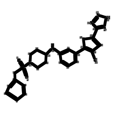 O=S(=O)(Cc1ccccc1)N1CCC(Nc2cccc(-c3sc(-c4nn[nH]n4)[c]c3Cl)c2)CC1